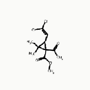 COC(=O)C1(C(C)=O)C(C=C(Cl)Cl)C1(C)C